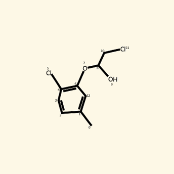 Cc1ccc(Cl)c(OC(O)CCl)c1